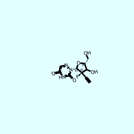 C#C[C@@]1(F)C(O)[C@@H](CO)O[C@H]1n1ncc(=O)[nH]c1=O